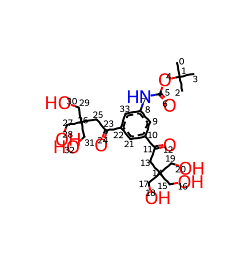 CC(C)(C)OC(=O)Nc1cc(C(=O)CC(CO)(CO)CO)cc(C(=O)CC(CO)(CO)CO)c1